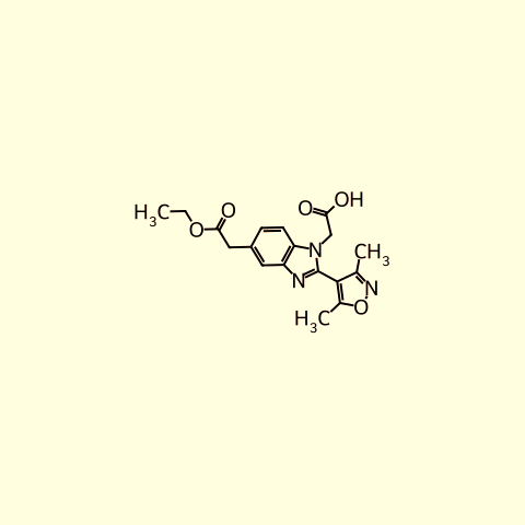 CCOC(=O)Cc1ccc2c(c1)nc(-c1c(C)noc1C)n2CC(=O)O